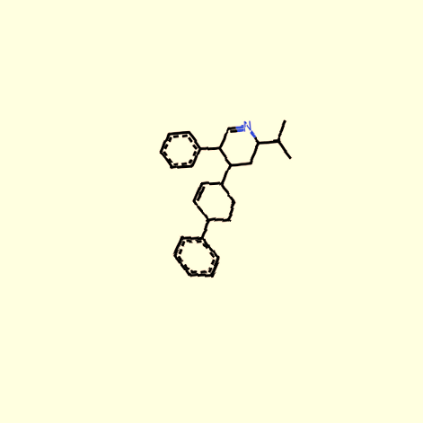 CC(C)C1CC(C2C=CC(c3ccccc3)CC2)C(c2ccccc2)C=N1